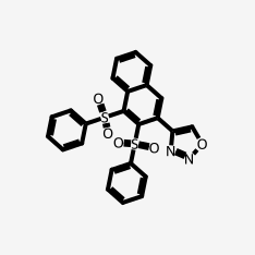 O=S(=O)(c1ccccc1)c1c(-c2conn2)cc2ccccc2c1S(=O)(=O)c1ccccc1